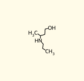 CCCNC(C)CCO